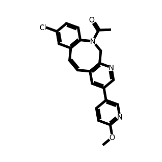 COc1ccc(-c2cnc3c(c2)/C=C\c2cc(Cl)ccc2N(C(C)=O)C3)cn1